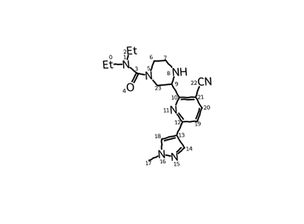 CCN(CC)C(=O)N1CCNC(c2nc(-c3cnn(C)c3)ccc2C#N)C1